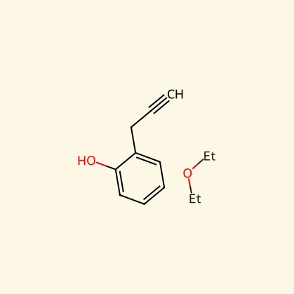 C#CCc1ccccc1O.CCOCC